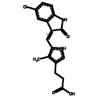 Cc1c(CCC(=O)O)c[nH]c1/C=C1\C(=O)Nc2ccc(Cl)cc21